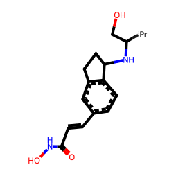 CC(C)C(CO)NC1CCc2cc(C=CC(=O)NO)ccc21